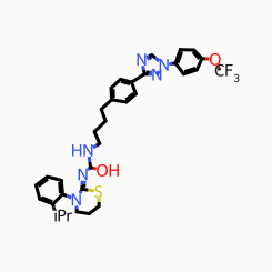 CC(C)c1ccccc1N1CCCS/C1=N\C(O)NCCCCc1ccc(-c2ncn(-c3ccc(OC(F)(F)F)cc3)n2)cc1